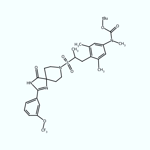 Cc1cc(N(C)C(=O)OC(C)(C)C)cc(C)c1CC(C)S(=O)(=O)N1CCC2(CC1)N=C(c1cccc(OC(F)(F)F)c1)NC2=O